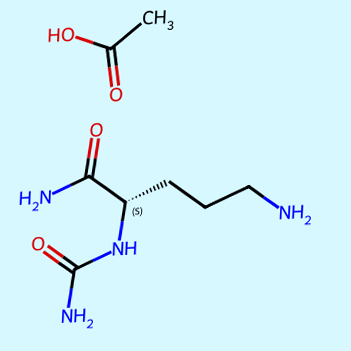 CC(=O)O.NCCC[C@H](NC(N)=O)C(N)=O